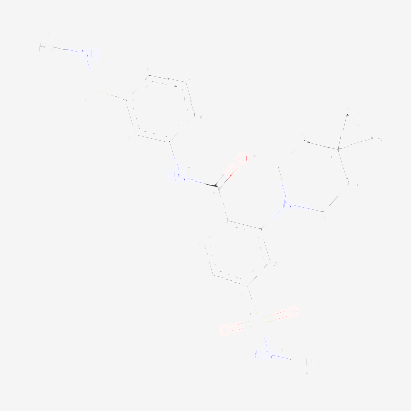 CC(C)(C)NSc1cccc(NC(=O)c2ccc(S(=O)(=O)NC(C)(C)C)cc2N2CCC3(CC2)CC3)c1